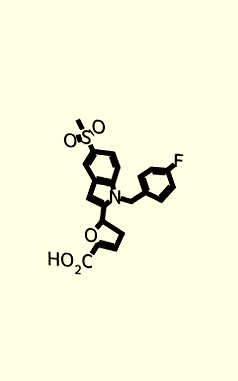 CS(=O)(=O)c1ccc2c(c1)cc(C1CC=C(C(=O)O)O1)n2Cc1ccc(F)cc1